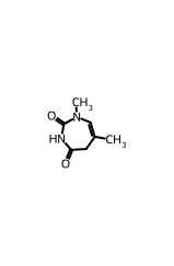 CC1=CN(C)C(=O)NC(=O)C1